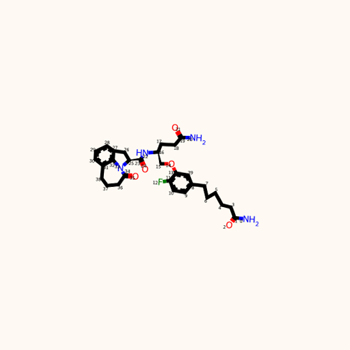 NC(=O)CCCCCc1ccc(F)c(OC[C@H](CCC(N)=O)NC(=O)[C@@H]2Cc3cccc4c3N2C(=O)CCC4)c1